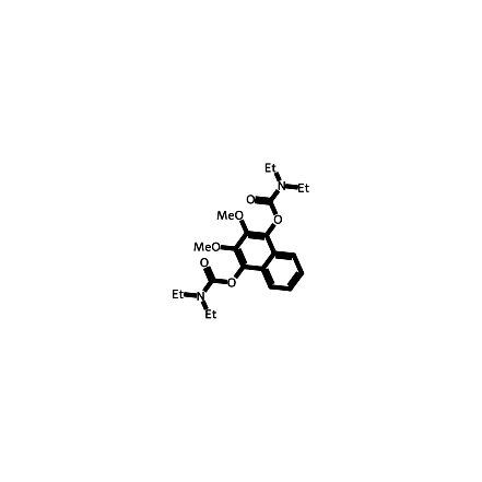 CCN(CC)C(=O)Oc1c(OC)c(OC)c(OC(=O)N(CC)CC)c2ccccc12